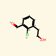 O=Cc1cccc(CCO)c1Cl